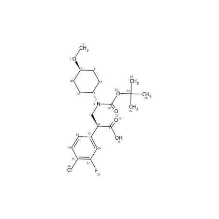 CO[C@H]1CC[C@H](N(C[C@@H](C(=O)O)c2ccc(Cl)c(F)c2)C(=O)OC(C)(C)C)CC1